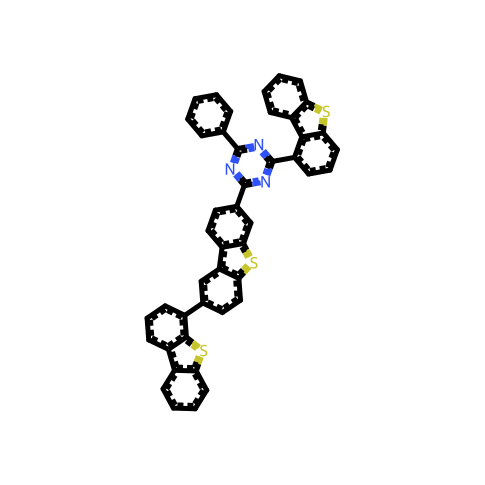 c1ccc(-c2nc(-c3ccc4c(c3)sc3ccc(-c5cccc6c5sc5ccccc56)cc34)nc(-c3cccc4sc5ccccc5c34)n2)cc1